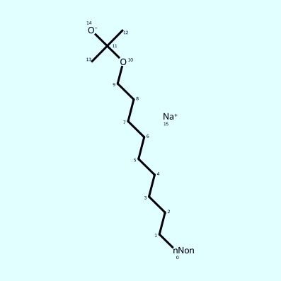 CCCCCCCCCCCCCCCCCCOC(C)(C)[O-].[Na+]